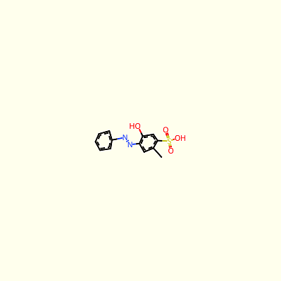 Cc1cc(N=Nc2ccccc2)c(O)cc1S(=O)(=O)O